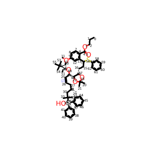 CCCOC(=O)c1ccc(OC)cc1C(CC[C@@H]1OC(C)(C)O[C@@H]1C(/C=C\C[C@H](C)CC(C)(C)[Si](O)(c1ccccc1)c1ccccc1)O[Si](C)(C)C(C)(C)C)Sc1ccccc1